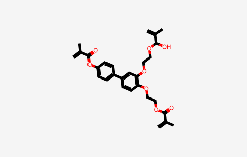 C=C(C)C(=O)OCCOc1ccc(-c2ccc(OC(=O)C(=C)C)cc2)cc1OCCOC(O)C(=C)C